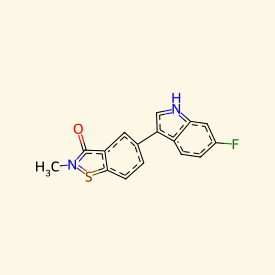 Cn1sc2ccc(-c3c[nH]c4cc(F)ccc34)cc2c1=O